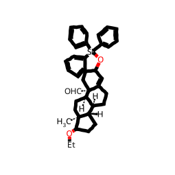 CCOC1CC[C@H]2[C@@H]3CCC4=CC(O[Si](c5ccccc5)(c5ccccc5)c5ccccc5)CC[C@]4(C=O)[C@@H]3CC[C@]12C